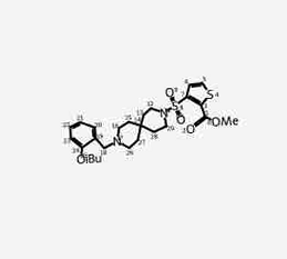 COC(=O)c1sccc1S(=O)(=O)N1CCC2(CCN(Cc3ccccc3OCC(C)C)CC2)CC1